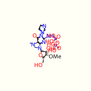 CO[C@H]1[C@@H](O)[C@H](N2CN(C)c3c2nc(N)n(-n2ccnc2)c3=O)O[C@@H]1CO.O=P(O)(O)OP(=O)(O)O